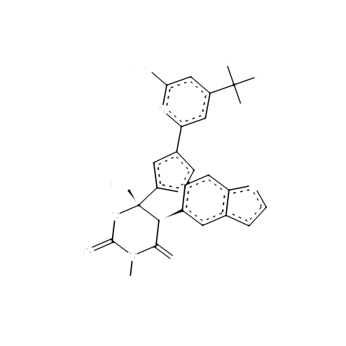 Cc1cc(C(F)(F)F)cc(-c2csc([C@@]3(C)NC(=N)N(C)C(=O)[C@@H]3c3ccc4occc4c3)c2)n1